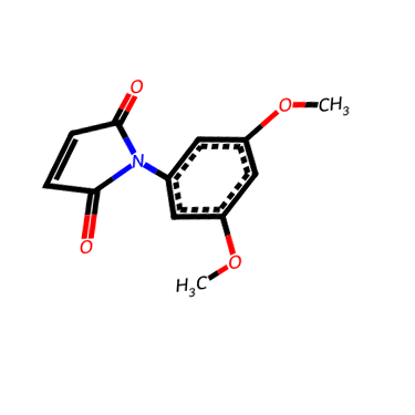 COc1cc(OC)cc(N2C(=O)C=CC2=O)c1